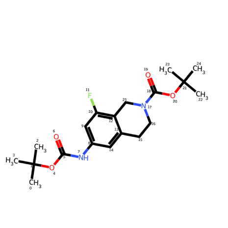 CC(C)(C)OC(=O)Nc1cc(F)c2c(c1)CCN(C(=O)OC(C)(C)C)C2